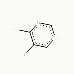 CCc1ncncc1C(C)C